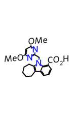 COc1cc(OC)nc(Cn2c3c(c4cccc(C(=O)O)c42)CCCCC3)n1